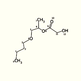 CCCCOCC(C)OC(=O)CO